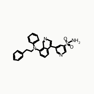 NS(=O)(=O)c1cncc(-c2cncc3c(N(CCc4ccccc4)c4ccccc4)cccc23)c1